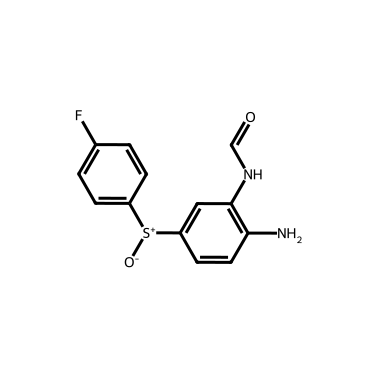 Nc1ccc([S+]([O-])c2ccc(F)cc2)cc1NC=O